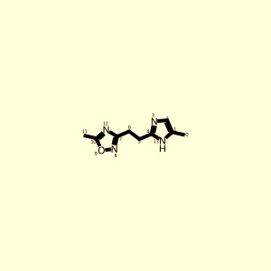 Cc1cnc(CCc2noc(C)n2)[nH]1